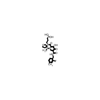 Cc1ccc(CNC(=O)c2cn3c(c(O)c2=O)C(=O)N(CCCP(O)O)C2(CCOC2)N3C)c(F)c1